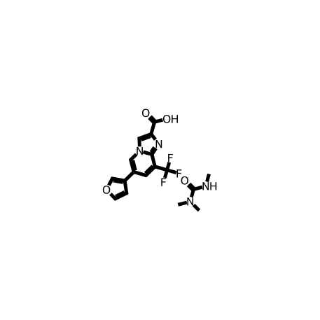 CNC(=O)N(C)C.O=C(O)c1cn2cc(-c3ccoc3)cc(C(F)(F)F)c2n1